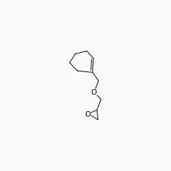 C1=C(COCC2CO2)CCCC1